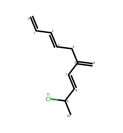 C=C/C=C/CC(=C)/C=C/C(C)Cl